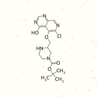 CC(C)(C)OC(=O)N1CCNC(COc2c(Cl)ncc3ncnc(O)c23)C1